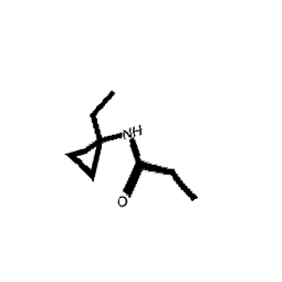 CCC(=O)NC1(CC)CC1